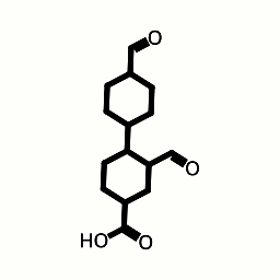 O=CC1CCC(C2CCC(C(=O)O)CC2C=O)CC1